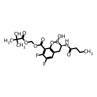 CCCC(=O)N[C@H]1Cc2cc(F)c(F)c(C(=O)OCOC(=O)C(C)(C)C)c2OB1O